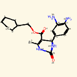 CCC1=C(C(=O)OCC2CCCCC2)C(c2ccc(N)c(N)c2)NC(=O)N1